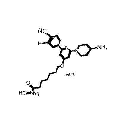 Cl.N#Cc1ccc(-c2cc(OCCCCCCC(=O)NO)cc(N3CCC(N)CC3)n2)cc1F